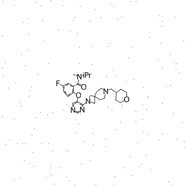 CC(C)N(C)C(=O)c1cc(F)ccc1Oc1cncnc1N1CC2(CCN(CC3CCOCC3)CC2)C1